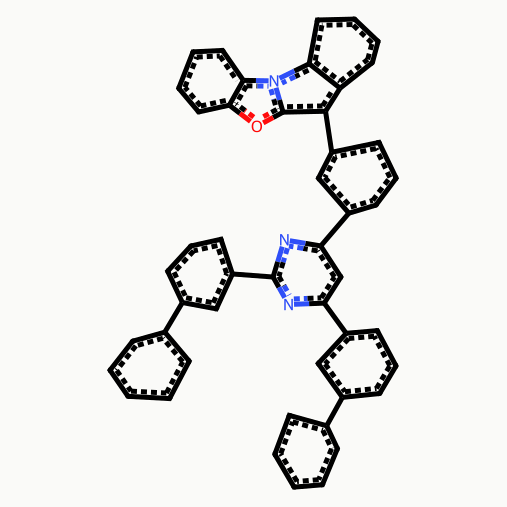 c1ccc(-c2cccc(-c3cc(-c4cccc(-c5c6ccccc6n6c5oc5ccccc56)c4)nc(-c4cccc(-c5ccccc5)c4)n3)c2)cc1